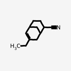 CCC1=CC2CCC(C#N)C(C1)C2